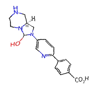 O=C(O)c1ccc(-c2ccc(N3C[C@@H]4CNCCN4C3O)cn2)cc1